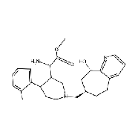 COC(=O)C(N)C1CN(C[C@@H]2CCc3cccnc3[C@@H](O)C2)CCC1c1ccccc1C